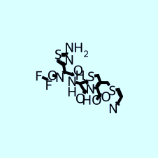 N#C/C=C\SCC1=C(C(=O)O)N2C(=O)C(NC(=O)C(=NOC(F)F)c3csc(N)n3)[C@@H]2SC1